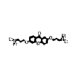 CCN(CC)CCCOc1ccc2c(=O)c3cc(OCCCN(CC)CC)ccc3oc2c1